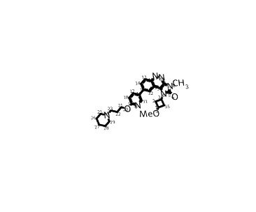 COC1CC(n2c(=O)n(C)c3nnc4ccc(-c5ccc(OCCCN6CCCCC6)nc5)cc4c32)C1